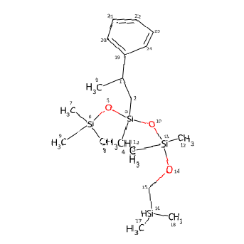 CC(C[Si](C)(O[Si](C)(C)C)O[Si](C)(C)OC[SiH](C)C)c1ccccc1